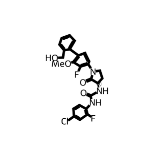 COc1c(-c2ccccc2CO)ccc(N2CC[C@@H](NC(=O)Nc3ccc(Cl)cc3F)C2=O)c1F